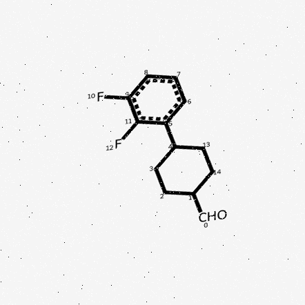 O=CC1CCC(c2cccc(F)c2F)CC1